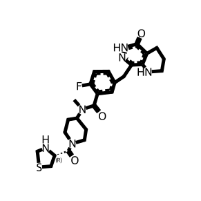 CN(C(=O)c1cc(Cc2n[nH]c(=O)c3c2NCCC3)ccc1F)C1CCN(C(=O)[C@@H]2CSCN2)CC1